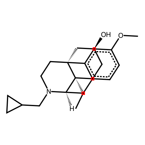 CC[C@@]12CC[C@H](O)C[C@@]13CCN(CC1CC1)[C@@H]2Cc1ccc(OC)cc13